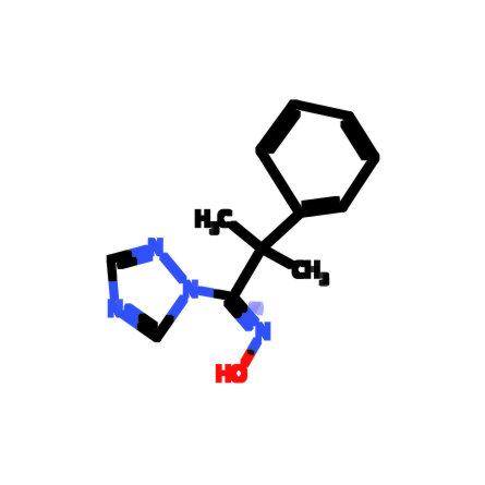 CC(C)(/C(=N/O)n1cncn1)c1ccccc1